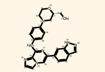 OC[C@@H]1CN(c2ccc(Nc3nc(-c4ccc5cn[nH]c5c4)cn4ccnc34)cc2)CCO1